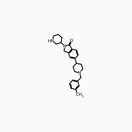 Cc1cccc(CN2CCC(c3ccc4c(c3)CN(C3CCCNC3)C4=O)CC2)c1